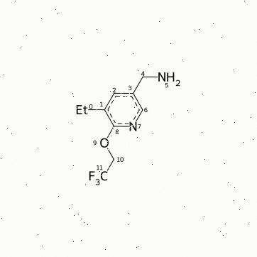 CCc1cc(CN)cnc1OCC(F)(F)F